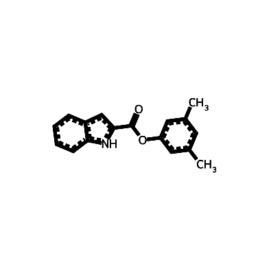 Cc1cc(C)cc(OC(=O)c2cc3ccccc3[nH]2)c1